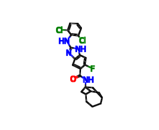 O=C(NC12CC3CCCC(C1)C2C3)c1cc2nc(Nc3c(Cl)cccc3Cl)[nH]c2cc1F